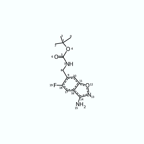 CC(C)(C)OC(=O)NCc1cc2onc(N)c2cc1F